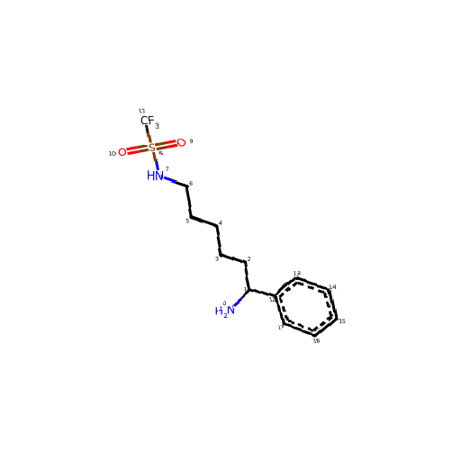 NC(CCCCCNS(=O)(=O)C(F)(F)F)c1ccccc1